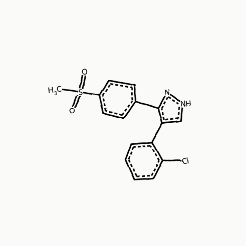 CS(=O)(=O)c1ccc(-c2n[nH]cc2-c2ccccc2Cl)cc1